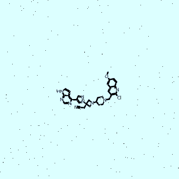 COc1ccc2nc(Cl)c(CN3CCC(N4CC(CC#N)(n5cc(-c6ncnc7[nH]ccc67)cn5)C4)CC3)cc2c1